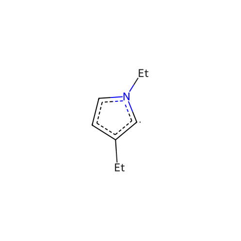 CCc1[c]n(CC)cc1